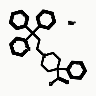 O=C([O-])C1(c2ccccc2)CCN(CCC(c2ccccc2)(c2ccccc2)c2ccccn2)CC1.[Na+]